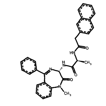 C[C@H](NC(=O)Cc1ccc2ccccc2c1)C(=O)N[C@H]1N=C(c2ccccc2)c2ccccc2N(C)C1=O